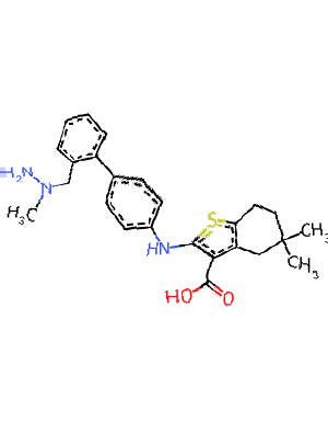 CN(N)Cc1ccccc1-c1ccc(Nc2sc3c(c2C(=O)O)CC(C)(C)CC3)cc1